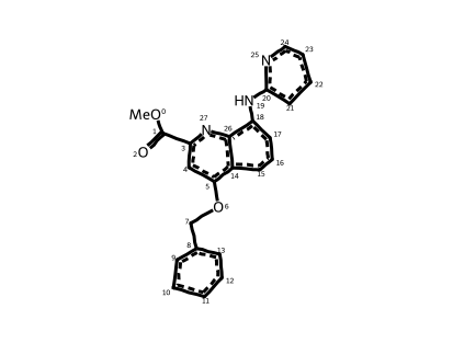 COC(=O)c1cc(OCc2ccccc2)c2cccc(Nc3ccccn3)c2n1